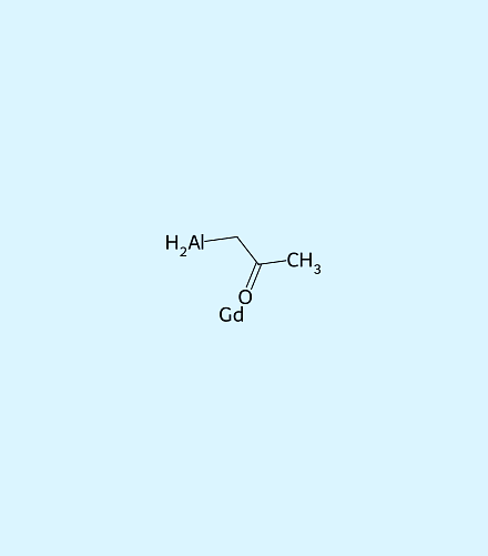 CC(=O)[CH2][AlH2].[Gd]